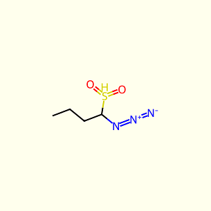 CCCC(N=[N+]=[N-])[SH](=O)=O